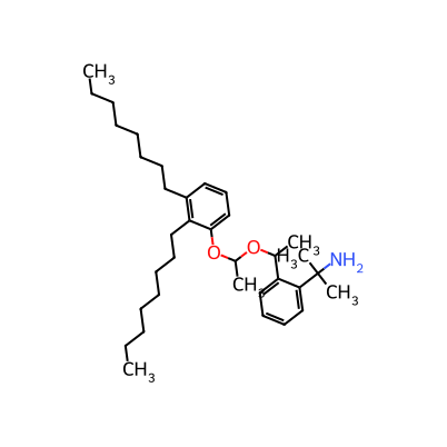 CCCCCCCCc1cccc(OC(C)OC(C)c2ccccc2C(C)(C)N)c1CCCCCCCC